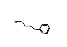 CCOCCCc1[c]cccc1